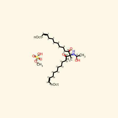 CCCCCCCC/C=C\CCCCCCCC(=O)C(C)(NC(C)O)C(=O)CCCCCCC/C=C\CCCCCCCC.COS(=O)(=O)O